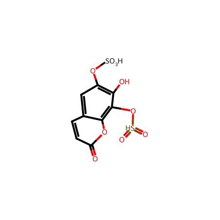 O=c1ccc2cc(OS(=O)(=O)O)c(O)c(O[SH](=O)=O)c2o1